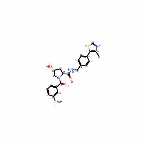 COc1cccc(C(=O)N2C[C@H](O)C[C@H]2C(=O)NCc2ccc(-c3scnc3C)cc2)c1